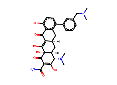 CN(C)Cc1cccc(-c2ccc(O)c3c2C[C@H]2C[C@H]4[C@H](N(C)C)C(O)=C(C(N)=O)C(=O)[C@@]4(O)C(O)=C2C3=O)c1